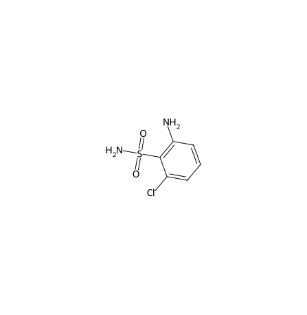 Nc1cccc(Cl)c1S(N)(=O)=O